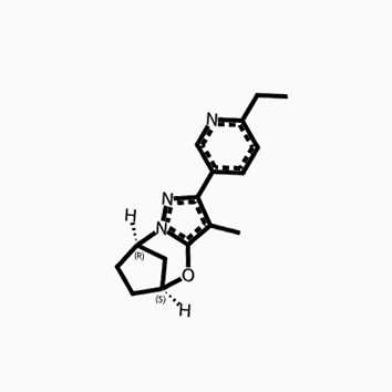 CCc1ccc(-c2nn3c(c2C)O[C@H]2CC[C@@H]3C2)cn1